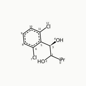 CC(C)C(O)[C@H](O)c1c(Cl)cccc1Cl